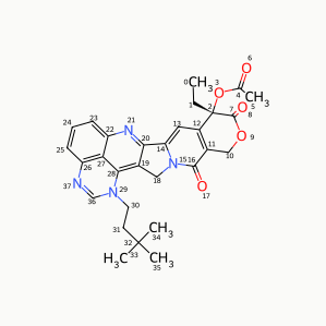 CC[C@@]1(OC(C)=O)C(=O)OCc2c1cc1n(c2=O)Cc2c-1nc1cccc3c1c2N(CCC(C)(C)C)C=N3